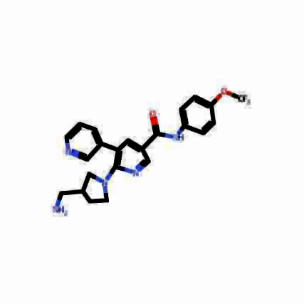 NCC1CCN(c2ncc(C(=O)Nc3ccc(OC(F)(F)F)cc3)cc2-c2cccnc2)C1